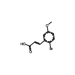 COc1ccc(Br)c(C=CC(=O)O)c1